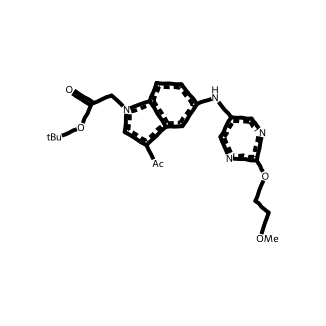 COCCOc1ncc(Nc2ccc3c(c2)c(C(C)=O)cn3CC(=O)OC(C)(C)C)cn1